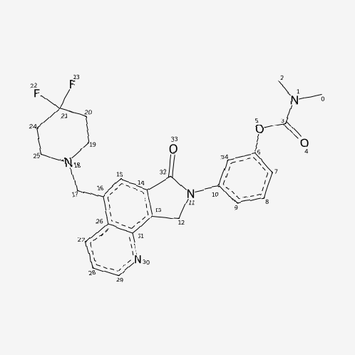 CN(C)C(=O)Oc1cccc(N2Cc3c(cc(CN4CCC(F)(F)CC4)c4cccnc34)C2=O)c1